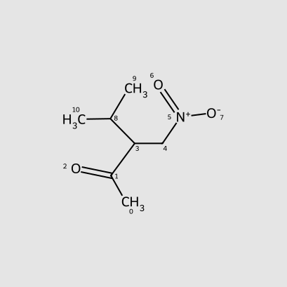 CC(=O)C(C[N+](=O)[O-])C(C)C